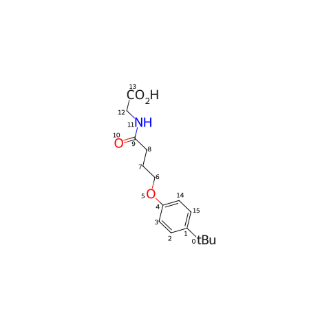 CC(C)(C)c1ccc(OCCCC(=O)NCC(=O)O)cc1